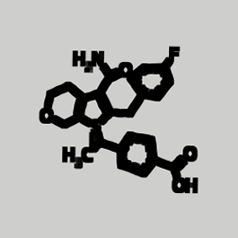 CC(c1ccc(C(=O)O)cc1)[SH]1C2=C(CCOC2)C(C(N)=O)=C1Cc1ccc(F)cc1